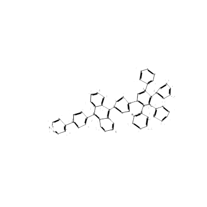 c1ccc(-c2cc(-c3ccc(-c4c5ccccc5c(-c5ccc(-c6ccncc6)cc5)c5ccccc45)cc3)c(-c3ccccc3)c(-c3ccccc3)c2-c2ccccc2)cc1